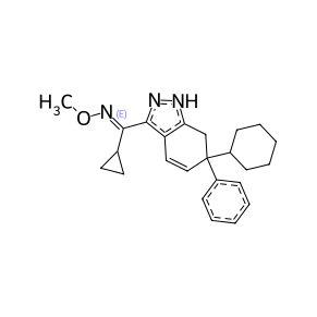 CO/N=C(/c1n[nH]c2c1C=CC(c1ccccc1)(C1CCCCC1)C2)C1CC1